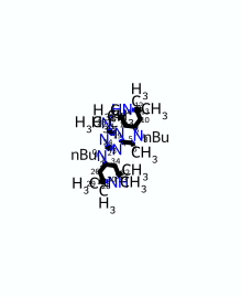 CCCCN(c1nc(C(C)N(CCCC)C2CC(C)(C)NC(C)(C)C2)nc(N(C)C)n1)C1CC(C)(C)NC(C)(C)C1